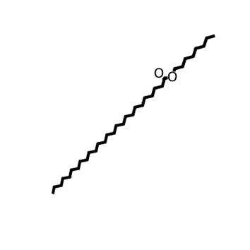 CCCCCCCCCCCCCCCCCCCCCCCCCC(=O)OCCCCCCCC